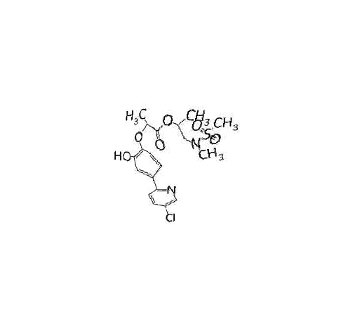 CC(CN(C)S(C)(=O)=O)OC(=O)C(C)Oc1ccc(-c2ccc(Cl)cn2)cc1O